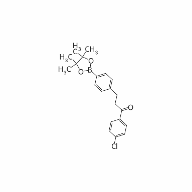 CC1(C)OB(c2ccc(CCC(=O)c3ccc(Cl)cc3)cc2)OC1(C)C